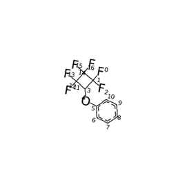 FC1(F)C(Oc2ccccc2)C(F)(F)C1(F)F